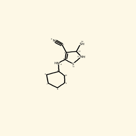 N#CC1=C(NC2CCCCC2)SNC1S